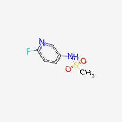 CS(=O)(=O)Nc1ccc(F)nc1